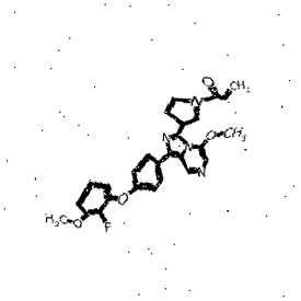 C=CC(=O)N1CCC(c2nc(-c3ccc(Oc4cccc(OC)c4F)cc3)c3cncc(OC)n23)C1